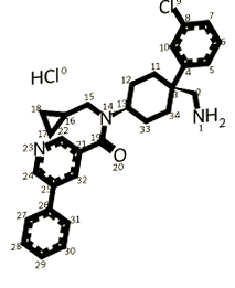 Cl.NC[C@]1(c2cccc(Cl)c2)CC[C@H](N(CC2CC2)C(=O)c2cncc(-c3ccccc3)c2)CC1